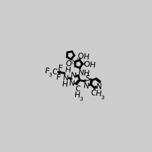 Cc1nc(NCC(F)(F)C(F)(F)F)nc(NC2C[C@H](C3(O)CCCC3)[C@@H](O)[C@H]2O)c1-c1nc2c(C)nccc2s1